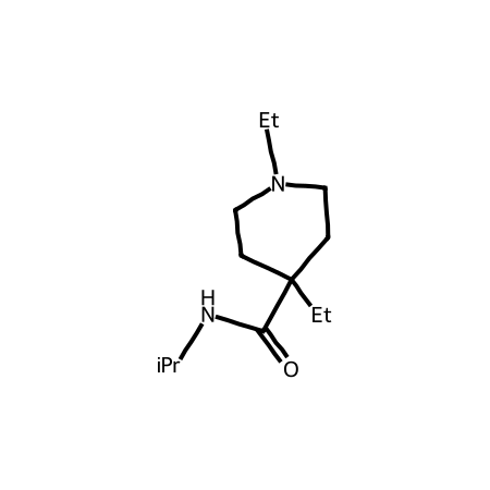 CCN1CCC(CC)(C(=O)NC(C)C)CC1